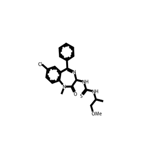 COCC(C)NC(=S)NC1N=C(c2ccccc2)c2cc(Cl)ccc2N(C)C1=O